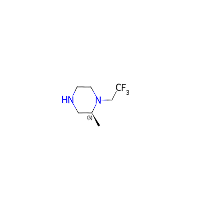 C[C@H]1CNCCN1CC(F)(F)F